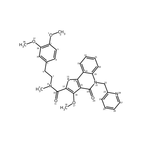 COc1ccc(CCN(C)C(=O)c2sc3c(c2OC)c(=O)n(Cc2ccccn2)c2ccccc32)cc1OC